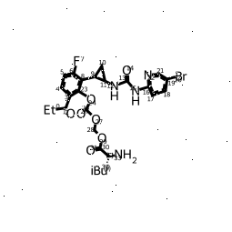 CCC(=O)c1ccc(F)c(C2CC2NC(=O)Nc2ccc(Br)cn2)c1OC(=O)OCOC(=O)[C@@H](N)[C@@H](C)CC